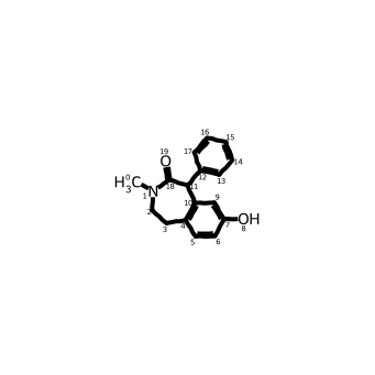 CN1CCc2ccc(O)cc2C(c2ccccc2)C1=O